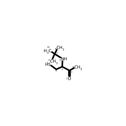 CC(=O)C(CS)NC(C)(C)C